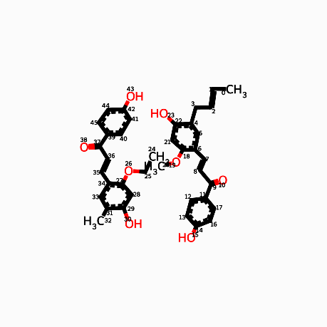 CC=CCc1cc(C=CC(=O)c2ccc(O)cc2)c(OC)cc1O.CCOc1cc(O)c(C)cc1C=CC(=O)c1ccc(O)cc1